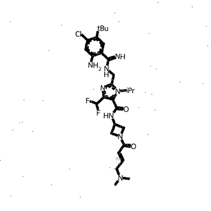 CC(C)n1c(CNC(=N)c2cc(C(C)(C)C)c(Cl)cc2N)nc(C(F)F)c1C(=O)NC1CN(C(=O)/C=C/CN(C)C)C1